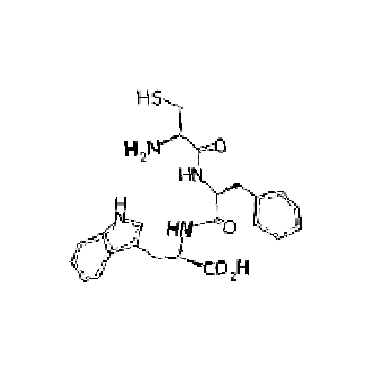 N[C@@H](CS)C(=O)N[C@@H](Cc1ccccc1)C(=O)N[C@H](Cc1c[nH]c2ccccc12)C(=O)O